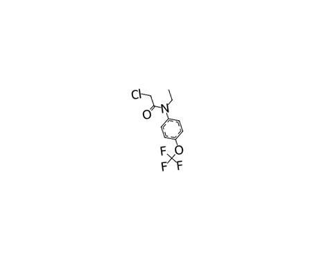 CCN(C(=O)CCl)c1ccc(OC(F)(F)F)cc1